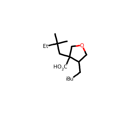 CCC(C)CC1COCC1(CC(C)(C)CC)C(=O)O